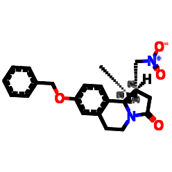 C[C@H]1CC23c4ccc(OCc5ccccc5)cc4CCN2C(=O)C[C@H]3[C@@H]1C[N+](=O)[O-]